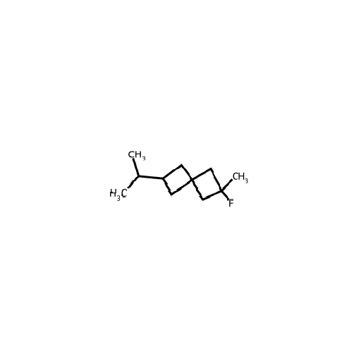 CC(C)C1CC2(C1)CC(C)(F)C2